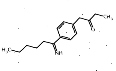 CCCCCC(=N)c1ccc(CC(=O)CC)cc1